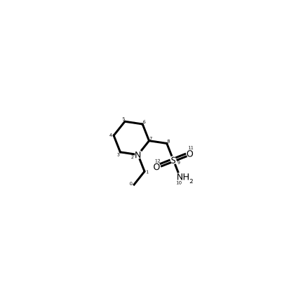 CCN1CCCCC1CS(N)(=O)=O